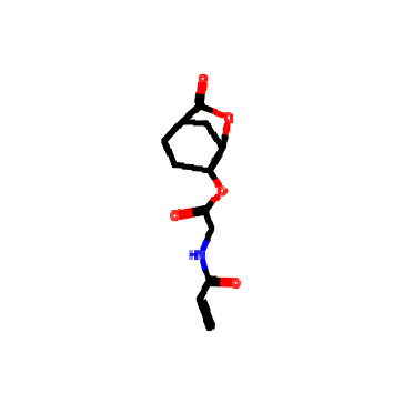 C=CC(=O)NCC(=O)OC1CCC2CC1OC2=O